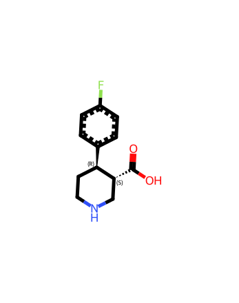 O=C(O)[C@@H]1CNCC[C@H]1c1ccc(F)cc1